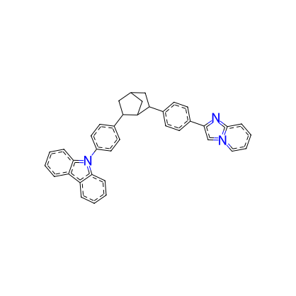 c1ccc2c(c1)c1ccccc1n2-c1ccc(C2CC3CC(c4ccc(-c5cn6ccccc6n5)cc4)C2C3)cc1